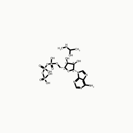 CNC(C)O.Nc1ncnc2c1ncn2[C@@H]1O[C@H](COP(=O)(O)OP(=O)(O)OP(=O)(O)O)[C@@H](O)[C@H]1O